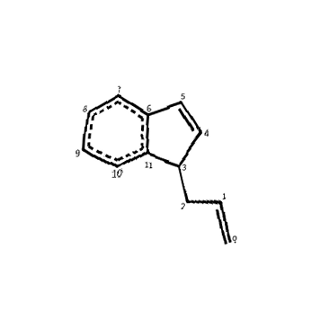 [CH]=CCC1C=Cc2ccccc21